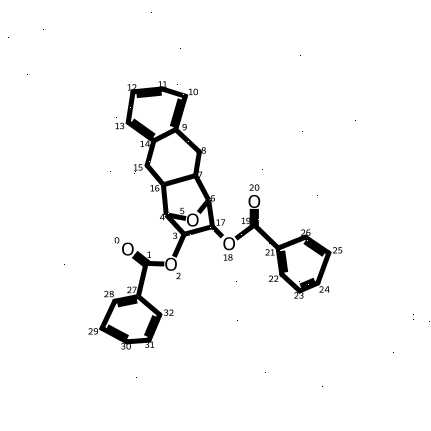 O=C(OC1C2OC(C3Cc4ccccc4CC32)C1OC(=O)c1ccccc1)c1ccccc1